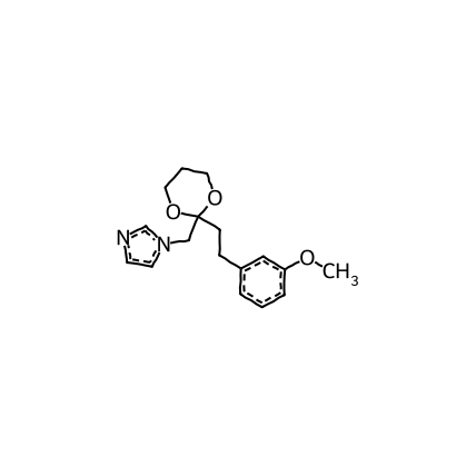 COc1cccc(CCC2(Cn3ccnc3)OCCCO2)c1